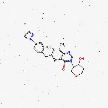 Cc1c(Cc2ccc(-n3cccn3)cc2)cc2c(=O)n(C3COCCC3O)cnc2c1C